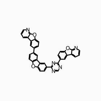 c1cnc2oc3ccc(-c4ccc5oc6ccc(-c7ncnc(-c8ccc9oc%10ncccc%10c9c8)n7)cc6c5c4)cc3c2c1